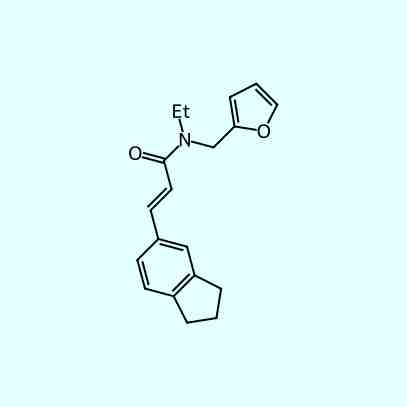 CCN(Cc1ccco1)C(=O)C=Cc1ccc2c(c1)CCC2